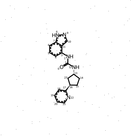 O=C(Nc1cccc2[nH]ncc12)N[C@@H]1CC[C@@H](c2ccccn2)C1